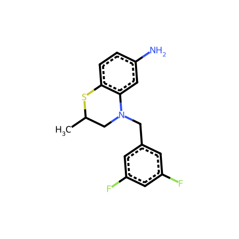 CC1CN(Cc2cc(F)cc(F)c2)c2cc(N)ccc2S1